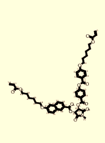 C=CC(=O)OCCCCCCOc1ccc(C(=O)Oc2ccc(C(=O)O[C@H]3C(=O)N(C)C(=O)[C@@H]3OC(=O)c3ccc4cc(OCCCCCCOC(=O)C=C)ccc4c3)cc2)cc1